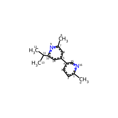 Cc1ccc(-c2cc(C)nc(C(C)C)c2)cn1